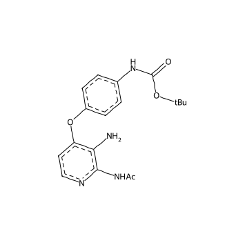 CC(=O)Nc1nccc(Oc2ccc(NC(=O)OC(C)(C)C)cc2)c1N